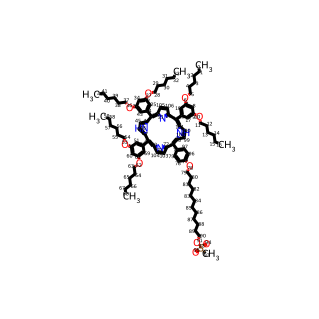 CCCCCCOc1cc(OCCCCCC)cc(-c2c3nc(c(-c4cc(OCCCCCC)cc(OCCCCCC)c4)c4ccc([nH]4)c(-c4cc(OCCCCCC)cc(OCCCCCC)c4)c4nc(c(-c5ccc(OCCCCCCCCCCCCOS(C)(=O)=O)cc5)c5ccc2[nH]5)C=C4)C=C3)c1